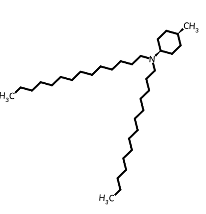 CCCCCCCCCCCCCCN(CCCCCCCCCCCCCC)[C@H]1CC[C@@H](C)CC1